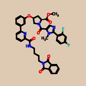 COC(=O)[C@@H]1C[C@H](Oc2cccc(-c3cccc(C(=O)NCCCCN4C(=O)c5ccccc5C4=O)n3)c2)CN1C(=O)c1cnc(-c2ccc(F)cc2F)n1C